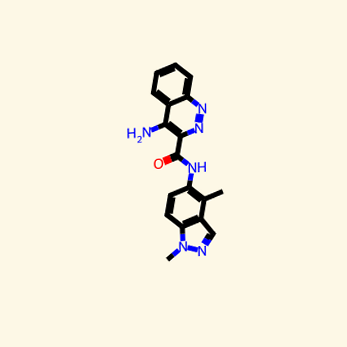 Cc1c(NC(=O)c2nnc3ccccc3c2N)ccc2c1cnn2C